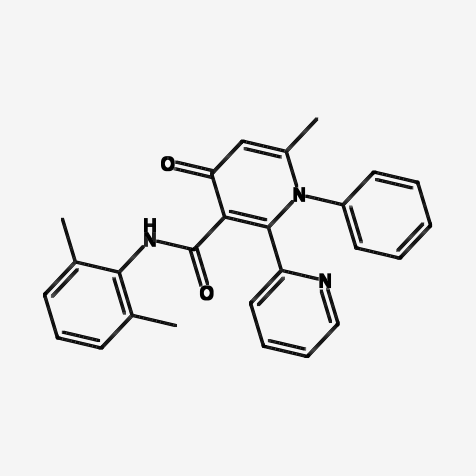 Cc1cccc(C)c1NC(=O)c1c(-c2ccccn2)n(-c2ccccc2)c(C)cc1=O